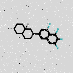 C[C@@H]1CC[C@@H]2CC(c3cc(F)c4c(F)c(F)c(F)cc4c3)CCC2C1